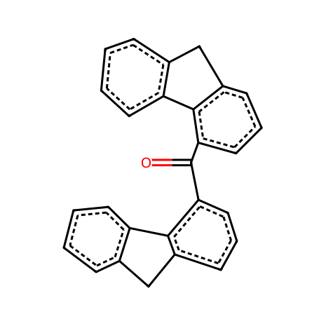 O=C(c1cccc2c1-c1ccccc1C2)c1cccc2c1-c1ccccc1C2